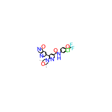 C[C@@H]1CN(c2ncc(C(=O)Nc3ccc(OC(F)(F)Cl)cc3)cc2-c2cnc3c(c2)C(=O)N(C)C3)C[C@H](C)O1